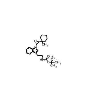 CC(C)(C)OC(=O)NCCc1cn(C2OC2C2(C)CCCCC2)c2ccccc12